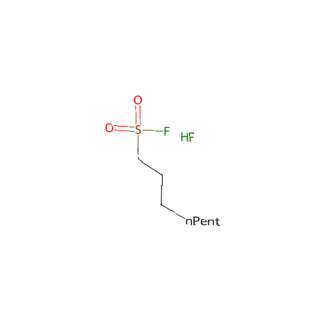 CCCCCCCCS(=O)(=O)F.F